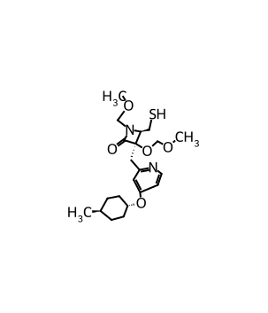 COCO[C@@]1(Cc2cc(O[C@H]3CC[C@H](C)CC3)ccn2)C(=O)N(COC)[C@H]1CS